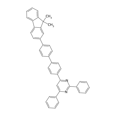 CC1(C)c2ccccc2-c2ccc(-c3ccc(-c4ccc(-c5cc(-c6ccccc6)nc(-c6ccccc6)n5)cc4)cc3)cc21